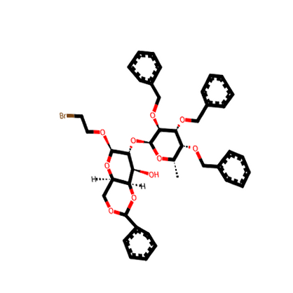 C[C@@H]1O[C@@H](O[C@H]2[C@H](OCCBr)O[C@@H]3COC(c4ccccc4)O[C@@H]3[C@@H]2O)[C@@H](OCc2ccccc2)[C@H](OCc2ccccc2)[C@@H]1OCc1ccccc1